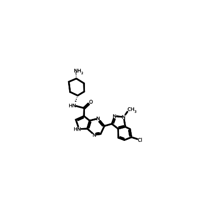 Cn1nc(-c2cnc3[nH]cc(C(=O)N[C@H]4CC[C@@H](N)CC4)c3n2)c2ccc(Cl)cc21